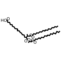 CCCCCCCCC=CCCCCCCCC(=O)OCC(C)OC(=O)C(CCCCCCC=CCCCCCCCC(=O)O)C(C)COC(=O)CCCCCCCC=CCCCCCCCC